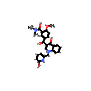 COc1ccc(C(=O)c2cn(Cc3cccc(Br)n3)c3ccccc3c2=O)cc1C(=O)N(C)C